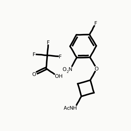 CC(=O)NC1CC(Oc2cc(F)ccc2[N+](=O)[O-])C1.O=C(O)C(F)(F)F